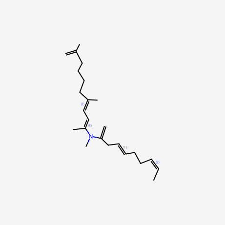 C=C(C)CCCC/C(C)=C/C=C(\C)N(C)C(=C)C/C=C/CC/C=C\C